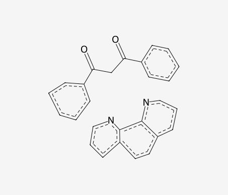 O=C(CC(=O)c1ccccc1)c1ccccc1.c1cnc2c(c1)ccc1cccnc12